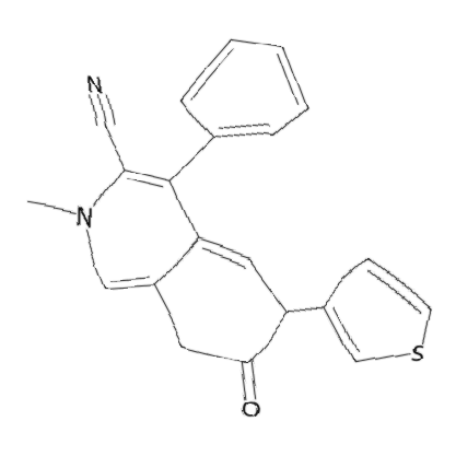 CN1C=C2CC(=O)C(c3ccsc3)C=C2C(c2ccccc2)=C1C#N